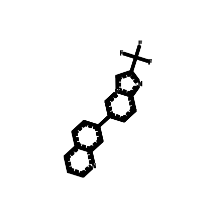 FC(F)(F)c1cn2cc(-c3ccc4cccnc4c3)ccc2n1